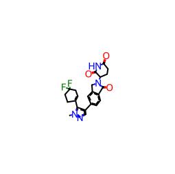 Cn1ncc(-c2ccc3c(c2)CN(C2CCC(=O)NC2=O)C3=O)c1C1=CCC(F)(F)CC1